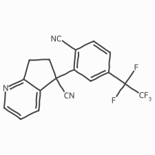 N#Cc1ccc(C(F)(F)C(F)(F)F)cc1C1(C#N)CCc2ncccc21